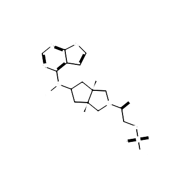 CN(c1ncnc2[nH]ccc12)C1C[C@@H]2CN(C(=O)CNS(C)(=O)=O)C[C@@H]2C1